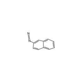 [N]=Nc1ccc2ccccc2c1